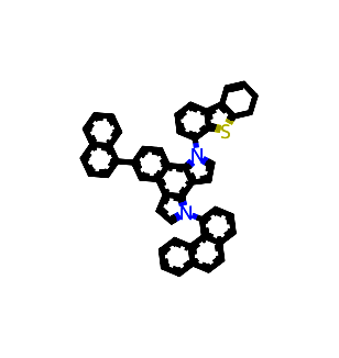 C1=Cc2c(sc3c(-n4ccc5c4c4ccc(-c6cccc7ccccc67)cc4c4ccn(-c6cccc7ccc8ccccc8c67)c45)cccc23)CC1